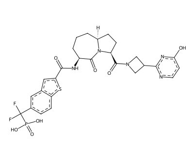 O=C(N[C@H]1CCC[C@H]2CC[C@@H](C(=O)N3CC(c4nccc(O)n4)C3)N2C1=O)c1cc2cc(C(F)(F)P(=O)(O)O)ccc2s1